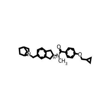 CN(C(=O)c1ccc(OCC2CC2)cc1)[C@@H]1Cc2ccc(CN3CC4CCC3C4)cc2C1